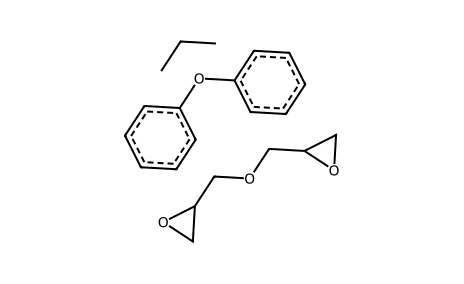 C(OCC1CO1)C1CO1.CCC.c1ccc(Oc2ccccc2)cc1